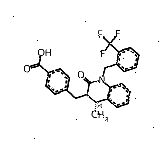 C[C@H]1c2ccccc2N(Cc2ccccc2C(F)(F)F)C(=O)C1Cc1ccc(C(=O)O)cc1